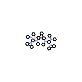 c1ccc(N2c3ccccc3B3c4cc5c6ccccc6c6cc7c(cc6c5cc4N(c4ccccc4)c4cc(-n5c6ccccc6c6ccccc65)cc2c43)N(c2ccccc2)c2cc(-n3c4ccccc4c4ccccc43)cc3c2B7c2ccccc2N3c2ccccc2)cc1